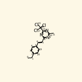 CCc1ccc(/C=C/c2nc(C)nc(C(Cl)(Cl)Cl)n2)cc1